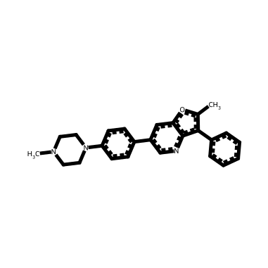 Cc1oc2cc(-c3ccc(N4CCN(C)CC4)cc3)cnc2c1-c1ccccc1